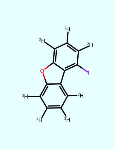 [2H]c1c([2H])c([2H])c2c(oc3c([2H])c([2H])c([2H])c(I)c32)c1[2H]